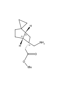 CC(C)(C)OC(=O)C[C@@]1(CN)C[C@@H]2[C@H]1CCC21CC1